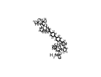 COC(=O)N[C@H](C(=O)N1CCC[C@H]1c1ncc(-c2ccc(-c3ccc(-c4cnc([C@@H]5CCCN5C(=O)[C@H](Cc5cscn5)OC(N)=O)[nH]4)cc3)cc2)[nH]1)[C@@H](C)OC